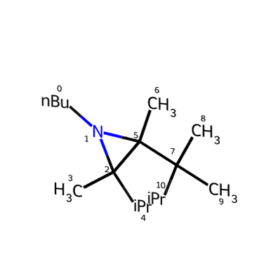 CCCCN1C(C)(C(C)C)C1(C)C(C)(C)C(C)C